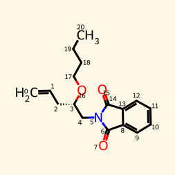 C=CC[C@@H](CN1C(=O)c2ccccc2C1=O)OCCCC